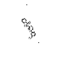 CC1(c2cc(Br)ccc2F)CCSC(NC(=O)c2ccccc2)=N1